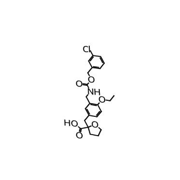 CCOc1ccc(CC2(C(=O)O)CCCO2)cc1CNC(=O)OCc1cccc(Cl)c1